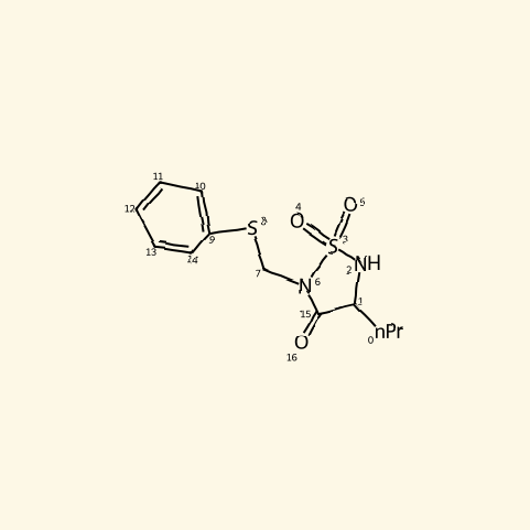 CCCC1NS(=O)(=O)N(CSc2ccccc2)C1=O